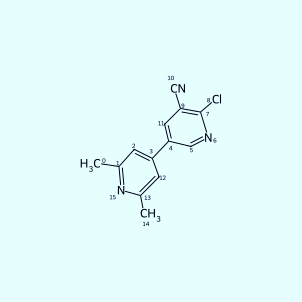 Cc1cc(-c2cnc(Cl)c(C#N)c2)cc(C)n1